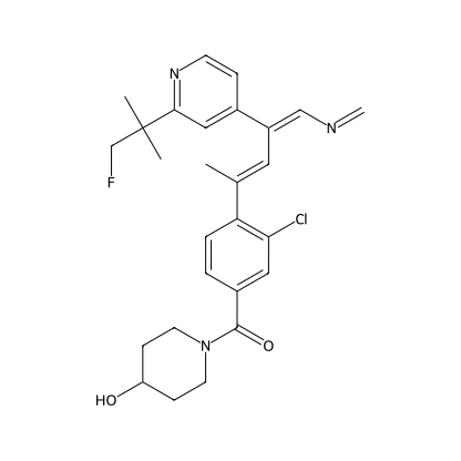 C=N/C=C(\C=C(/C)c1ccc(C(=O)N2CCC(O)CC2)cc1Cl)c1ccnc(C(C)(C)CF)c1